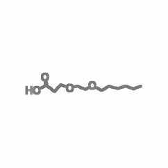 CCCCCCOCCOCCC(=O)O